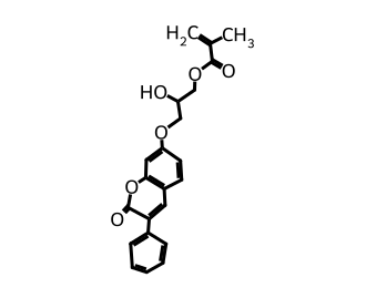 C=C(C)C(=O)OCC(O)COc1ccc2cc(-c3ccccc3)c(=O)oc2c1